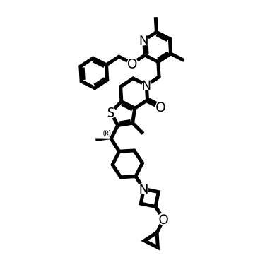 Cc1cc(C)c(CN2CCc3sc([C@H](C)C4CCC(N5CC(OC6CC6)C5)CC4)c(C)c3C2=O)c(OCc2ccccc2)n1